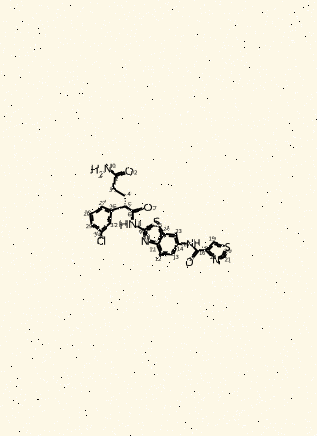 NC(=O)CC[C@H](C(=O)Nc1nc2ccc(NC(=O)c3cscn3)cc2s1)c1cccc(Cl)c1